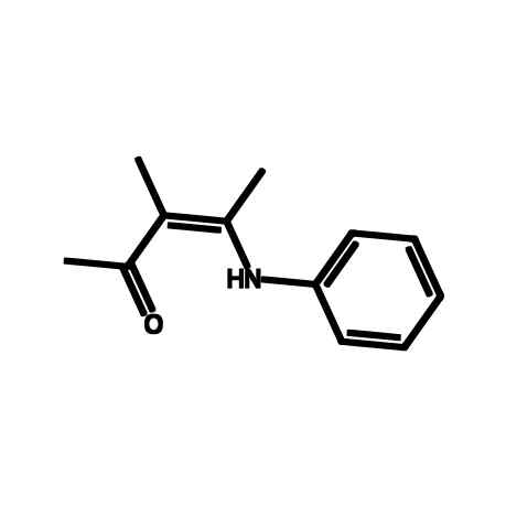 CC(=O)/C(C)=C(/C)Nc1ccccc1